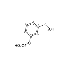 O=C(O)Oc1cccc(CO)c1